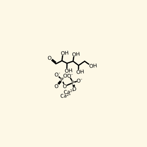 O=CC(O)C(O)C(O)C(O)CO.O=P([O-])([O-])OP(=O)([O-])[O-].[Ca+2].[Ca+2]